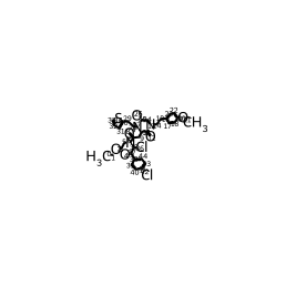 CCOC(=O)CN(C(=O)CC1C(=O)N(CCc2ccc(OC)cc2)CC(=O)N1CCc1cccs1)C(Cl)Cc1ccc(Cl)cc1